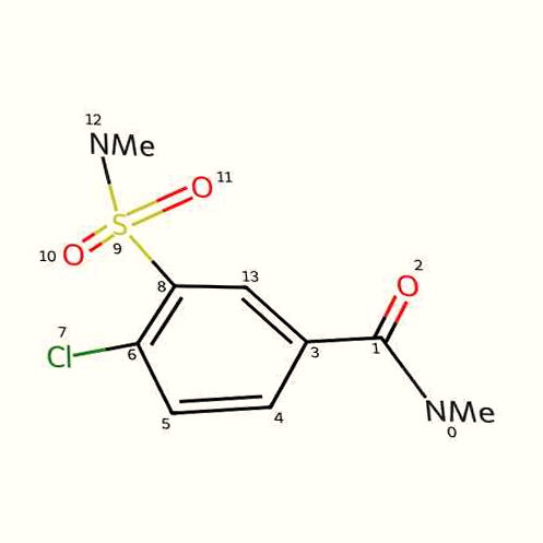 CNC(=O)c1ccc(Cl)c(S(=O)(=O)NC)c1